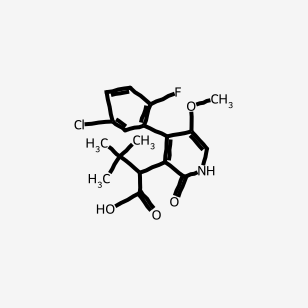 COc1c[nH]c(=O)c(C(C(=O)O)C(C)(C)C)c1-c1cc(Cl)ccc1F